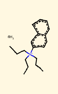 B.CCC[N+](CCC)(CCC)c1ccc2ccccc2c1